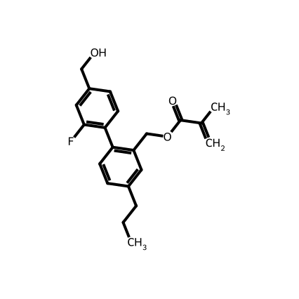 C=C(C)C(=O)OCc1cc(CCC)ccc1-c1ccc(CO)cc1F